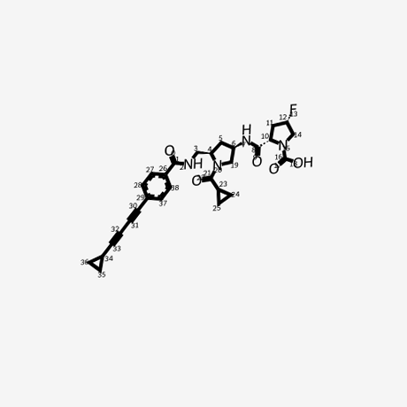 O=C(NC[C@H]1C[C@@H](NC(=O)[C@@H]2C[C@H](F)CN2C(=O)O)CN1C(=O)C1CC1)c1ccc(C#CC#CC2CC2)cc1